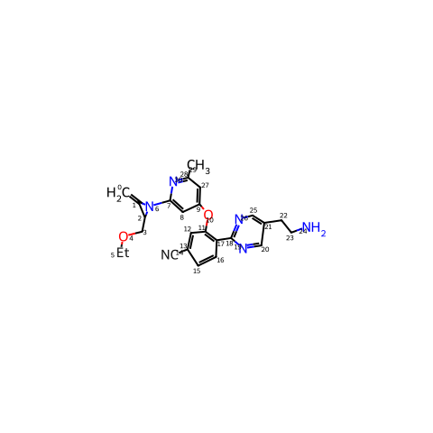 C=C1C(COCC)N1c1cc(Oc2cc(C#N)ccc2-c2ncc(CCN)cn2)cc(C)n1